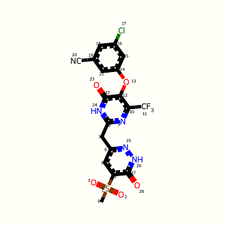 CS(=O)(=O)c1cc(Cc2nc(C(F)(F)F)c(Oc3cc(Cl)cc(C#N)c3)c(=O)[nH]2)n[nH]c1=O